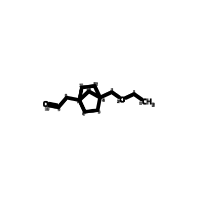 CCOCC12CCC(CC=O)(CC1)C2